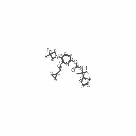 CC(C)(NC(=O)Oc1ccc(N2CC(F)(F)C2)c(OCC2CC2)n1)c1nccs1